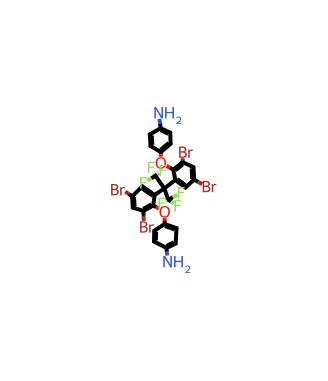 Nc1ccc(Oc2c(Br)cc(Br)cc2C(c2cc(Br)cc(Br)c2Oc2ccc(N)cc2)(C(F)(F)F)C(F)(F)F)cc1